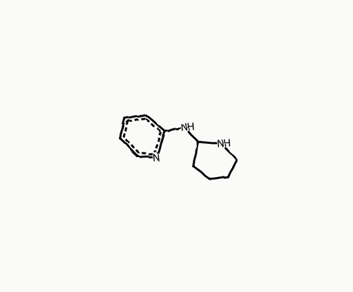 c1ccc(NC2CCCCN2)nc1